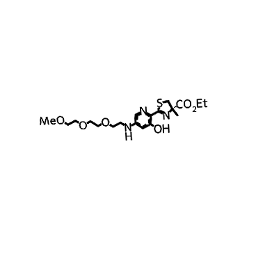 CCOC(=O)[C@@]1(C)CSC(c2ncc(NCCOCCOCCOC)cc2O)=N1